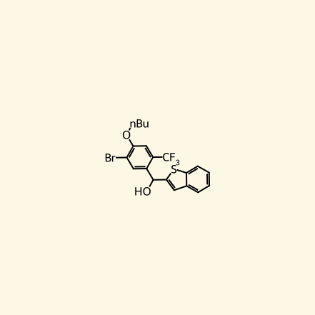 CCCCOc1cc(C(F)(F)F)c(C(O)c2cc3ccccc3s2)cc1Br